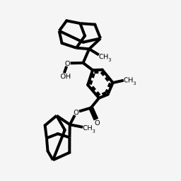 Cc1cc(C(=O)OC2(C)C3CC4CC(C3)CC2C4)cc(C(OO)C2(C)C3CC4CC(C3)CC2C4)c1